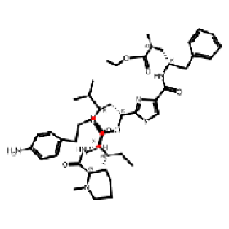 CCOC(=O)[C@@H](C)C[C@H](Cc1ccccc1)NC(=O)c1csc([C@@H](C[C@H](C(C)C)N(CCc2ccc(N)cc2)C(=O)[C@@H](NC(=O)[C@H]2CCCCN2C)[C@@H](C)CC)OC(=O)NC)n1